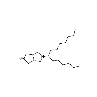 CCCCCCCC(CCCCCC)N1CC2CNCC2C1